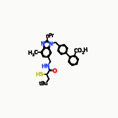 CCCc1nc2c(C)cc(CNC(=O)C(S)CC(C)(C)C)cc2n1Cc1ccc(-c2ccccc2C(=O)O)cc1